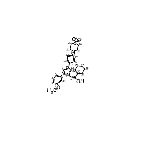 COc1cccc(-n2cc(-c3ccc(N4CCS(=O)(=O)CC4)cc3)c([C@@H]3CCCC[C@H]3C(=O)O)n2)c1